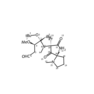 CC[C@H](C)[C@](OC(C)(C)C)([C@@H](CC=O)OC)N(C)[C@@](C(N)=O)(C(=O)[C@]1(C)CCCN1C)C(C)C